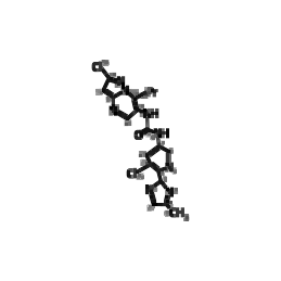 CC1=NC(c2ncc(NC(=O)Nc3cnc4cc(Cl)nn4c3C(C)C)cc2Cl)N=C1